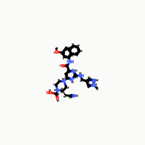 COc1cc(NC(=O)c2cc(N3CCN(C(=O)O)[C@@H](CC#N)C3)nc(NCc3cnn(C)c3)n2)c2ccccc2c1